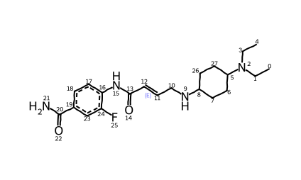 CCN(CC)C1CCC(NC/C=C/C(=O)Nc2ccc(C(N)=O)cc2F)CC1